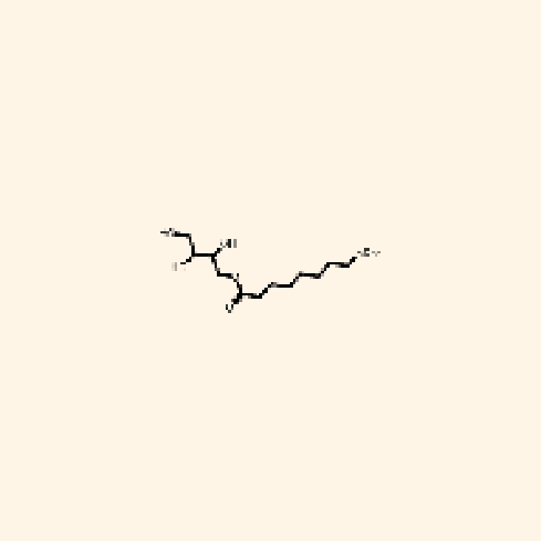 CCCCCCCCCCCCCCCCCC(=O)OCC(O)C(O)CO